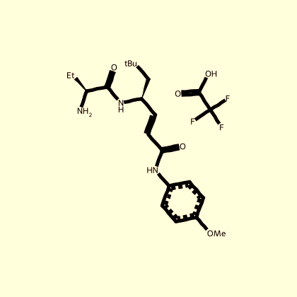 CC[C@H](N)C(=O)N[C@H](C=CC(=O)Nc1ccc(OC)cc1)CC(C)(C)C.O=C(O)C(F)(F)F